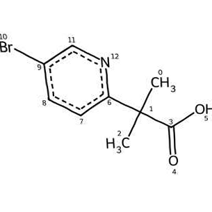 CC(C)(C(=O)O)c1ccc(Br)cn1